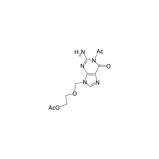 CC(=O)OCCOCn1cnc2c(=O)n(C(C)=O)c(N)nc21